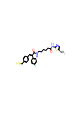 O=C(CCCCCNC(=O)C(=Cc1ccc(CS)cc1)c1ccc(F)cc1)Nc1ncc([N+](=O)[O-])s1